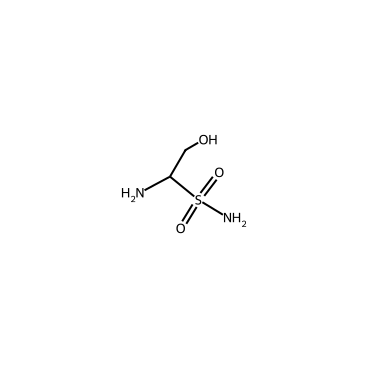 NC(CO)S(N)(=O)=O